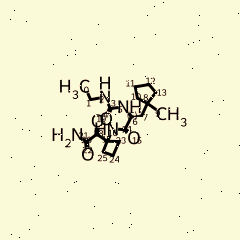 CCNC(=O)N[C@@H](CC1(C)CCCC1)C(=O)NC1(C(=O)C(N)=O)CCC1